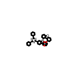 c1ccc(-c2nc(-c3ccccc3)nc(-c3ccc4c5ccccc5n(-c5cccc6oc7cccc(-c8ccccc8)c7c56)c4c3)n2)cc1